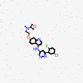 CN(CCOc1ccc2c(Nc3cnnc(-c4cc(Cl)ccc4F)c3)ccnc2c1)C1COC1